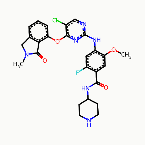 COc1cc(C(=O)NC2CCNCC2)c(F)cc1Nc1ncc(Cl)c(Oc2cccc3c2C(=O)N(C)C3)n1